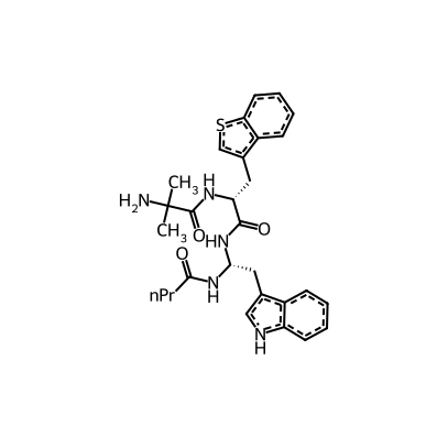 CCCC(=O)N[C@@H](Cc1c[nH]c2ccccc12)NC(=O)[C@@H](Cc1csc2ccccc12)NC(=O)C(C)(C)N